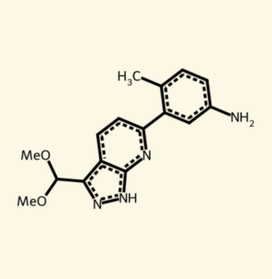 COC(OC)c1n[nH]c2nc(-c3cc(N)ccc3C)ccc12